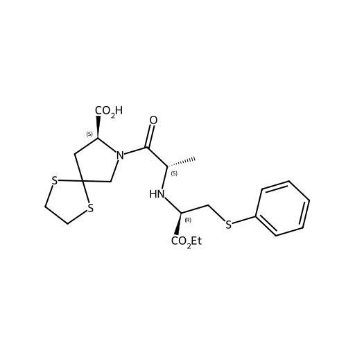 CCOC(=O)[C@H](CSc1ccccc1)N[C@@H](C)C(=O)N1CC2(C[C@H]1C(=O)O)SCCS2